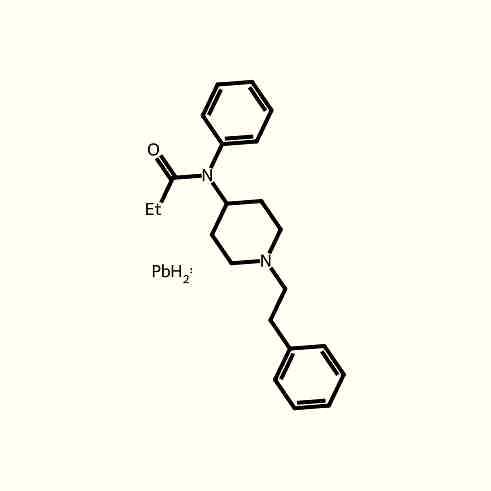 CCC(=O)N(c1ccccc1)C1CCN(CCc2ccccc2)CC1.[PbH2]